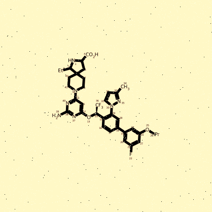 CCC1NC(C(=O)O)CC12CCN(c1cc(O[C@H](c3ccc(-c4cc(F)cc(OC(C)C)c4)cc3-n3ccc(C)n3)C(F)(F)F)nc(N)n1)CC2